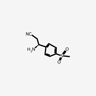 CS(=O)(=O)c1ccc([C@@H](N)CC#N)cc1